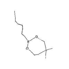 CCCCB1OCC(C)(C)CO1